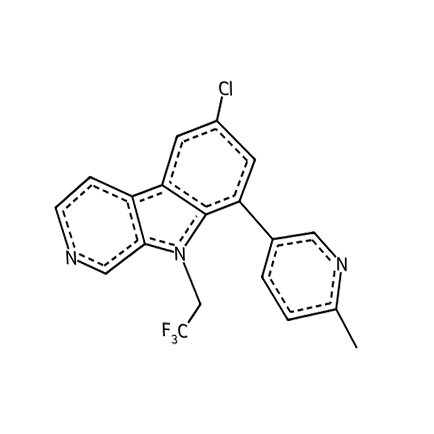 Cc1ccc(-c2cc(Cl)cc3c4ccncc4n(CC(F)(F)F)c23)cn1